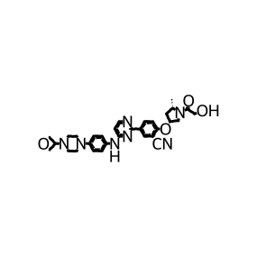 C[C@H]1C[C@@H](Oc2ccc(-c3nccc(Nc4ccc(N5CCN(C6COC6)CC5)cc4)n3)cc2C#N)CN1C(=O)CO